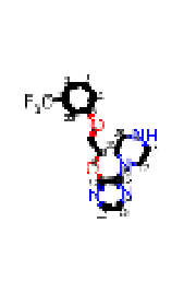 FC(F)(F)c1cccc(OCCOc2nccnc2N2CCNCC2)c1